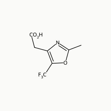 Cc1nc(CC(=O)O)c(C(F)(F)F)o1